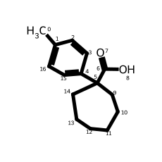 Cc1ccc(C2(C(=O)O)CCCCCC2)cc1